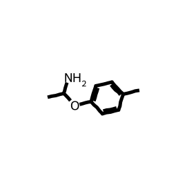 Cc1ccc(OC(C)N)cc1